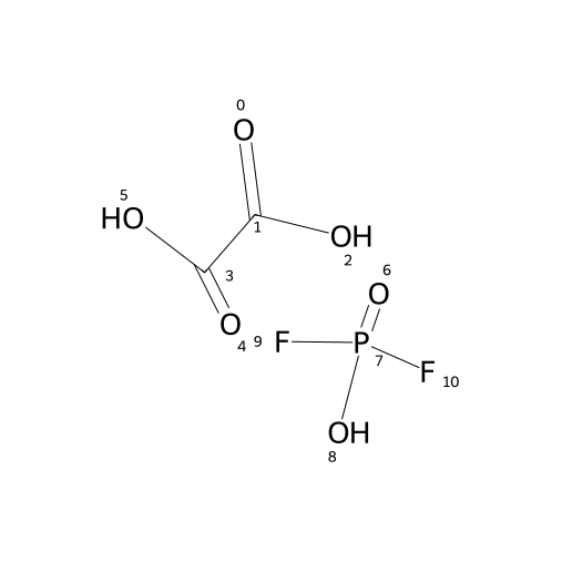 O=C(O)C(=O)O.O=P(O)(F)F